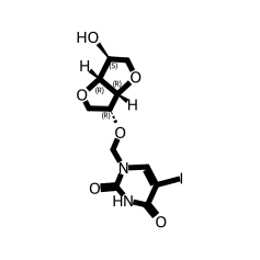 O=c1[nH]c(=O)n(CO[C@@H]2CO[C@H]3[C@@H]2OC[C@@H]3O)cc1I